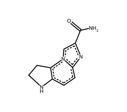 NC(=O)c1cn2c3c(ccc2n1)NCC3